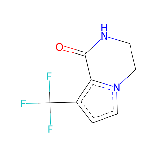 O=C1NCCn2ccc(C(F)(F)F)c21